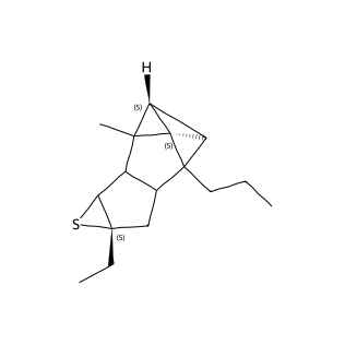 CCCC12C3C[C@]4(CC)SC4C3C3(C)[C@@H]4C1[C@]423